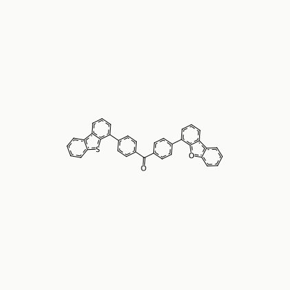 O=C(c1ccc(-c2cccc3c2oc2ccccc23)cc1)c1ccc(-c2cccc3c2sc2ccccc23)cc1